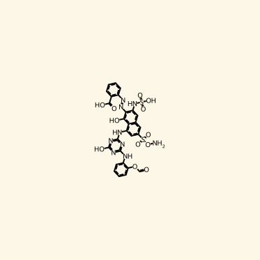 NOS(=O)(=O)c1cc(Nc2nc(O)nc(Nc3ccccc3OC=O)n2)c2c(O)c(N=Nc3ccccc3C(=O)O)c(NS(=O)(=O)O)cc2c1